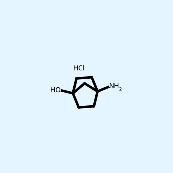 Cl.NC12CCC(O)(CC1)C2